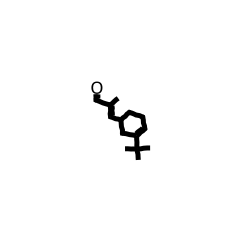 C/C(C=O)=C\C1CCC=C(C(C)(C)C)C1